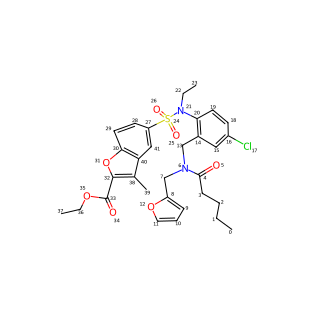 CCCCC(=O)N(Cc1ccco1)Cc1cc(Cl)ccc1N(CC)S(=O)(=O)c1ccc2oc(C(=O)OCC)c(C)c2c1